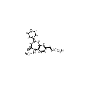 Cl.O=C(O)C=Cc1cnc2c(c1)CN(N1CCOCC1)CC(=O)N2